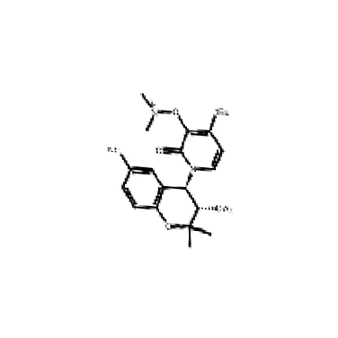 CC(=O)O[C@H]1[C@H](n2ccc(C(C)(C)C)c(O[SiH](C)C)c2=O)c2cc(C#N)ccc2OC1(C)C